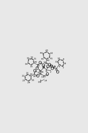 COC1(COC(=O)c2ccccc2)O[C@H](CI)[C@H](OC(=O)c2ccccc2)[C@@H](OC(=O)c2ccccc2)[C@@H]1OC(=O)c1ccccc1